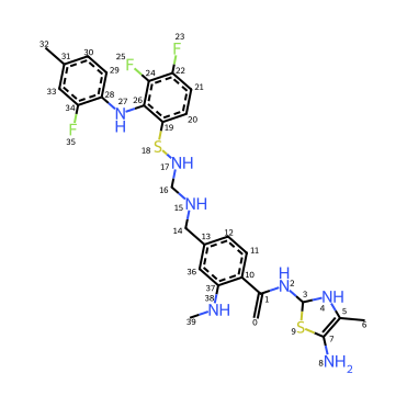 C=C(NC1NC(C)=C(N)S1)c1ccc(CNCNSc2ccc(F)c(F)c2Nc2ccc(C)cc2F)cc1NC